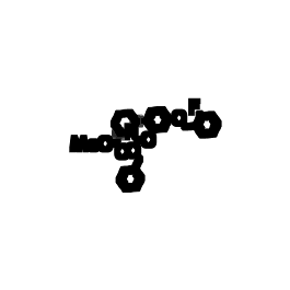 COC(=O)[C@@H]1CCC[C@H](c2ccc(OCc3ccccc3F)cc2)N1C(=O)OCc1ccccc1